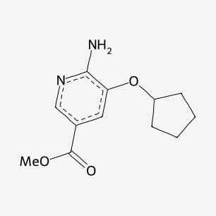 COC(=O)c1cnc(N)c(OC2CCCC2)c1